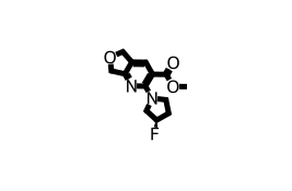 COC(=O)c1cc2c(nc1N1CC[C@@H](F)C1)COC2